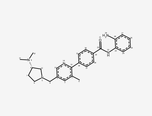 Cc1cc(CN2CC[C@H](N(C)C)C2)cnc1-c1ccc(C(=O)Nc2ccccc2N)cc1